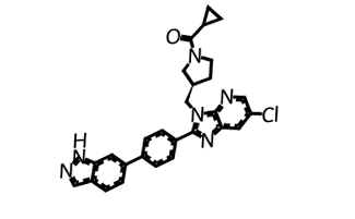 O=C(C1CC1)N1CC[C@@H](Cn2c(-c3ccc(-c4ccc5cn[nH]c5c4)cc3)nc3cc(Cl)cnc32)C1